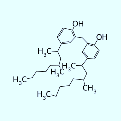 CCCCCC(C)CC(C)c1ccc(O)c(Cc2cc(C(C)CC(C)CCCCC)ccc2O)c1